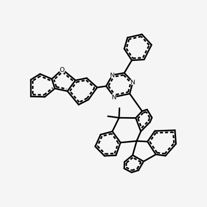 CC1(C)c2ccccc2C2(c3ccccc3-c3ccccc32)c2cccc(-c3nc(-c4ccccc4)nc(-c4ccc5c(c4)oc4ccccc45)n3)c21